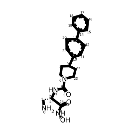 NC[C@H](NC(=O)N1CCC(c2ccc(-c3ccccc3)cc2)CC1)C(=O)NO